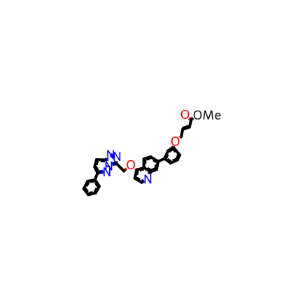 COC(=O)/C=C/COc1cccc(-c2ccc3c(OCc4nnc5ccc(-c6ccccc6)nn45)ccnc3c2)c1